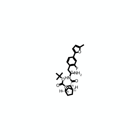 Cc1ccc(-c2ccc(C[C@@H](N)NC(=O)[C@@H]3[C@H]4CC[C@H](C4)N3C(=O)OC(C)(C)C)c(F)c2)o1